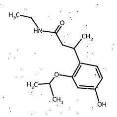 CCNC(=O)CC(C)c1ccc(O)cc1OC(C)C